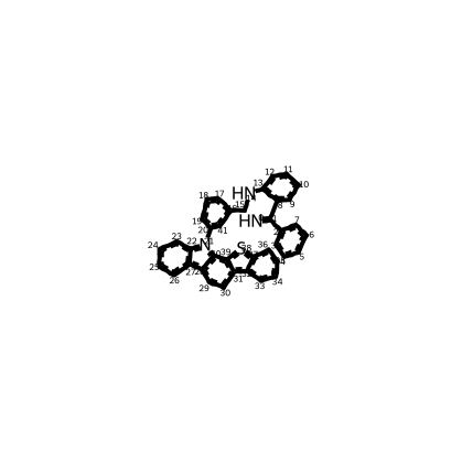 N=C(c1ccccc1)c1ccccc1NCc1cccc(-n2c3ccccc3c3ccc4c5ccccc5sc4c32)c1